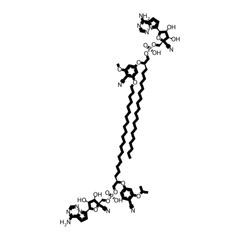 CCCCCCCCCCCCCCCCCCC[C@H](COP(=O)(O)OC[C@@]1(C#N)O[C@@H](c2ccc3c(N)ncnn23)[C@H](O)[C@@H]1O)Oc1cc(OC)c(C#N)c(OCCCCCCCCCCCCCCCCCCC[C@H](COP(=O)(O)OC[C@@]2(C#N)O[C@@H](c3ccc4c(N)ncnn34)[C@H](O)[C@@H]2O)Oc2ccc(C#N)c(OC(C)C)c2)c1